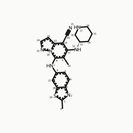 Cc1nc2ccc(Nc3c(C)c(N[C@H]4CCCNC4)c(C#N)c4ccnn34)cc2s1